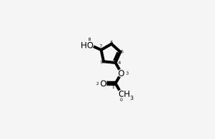 CC(=O)OC1=CCC(O)C1